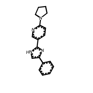 c1ccc(-c2c[nH]c(-c3ccc(N4CCCC4)nc3)n2)cc1